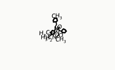 Cc1ccc(CCN(C(=O)[C@@H](NC(=O)[C@H](C)N)c2ccccc2)c2ccc(C)c(C)c2)cc1